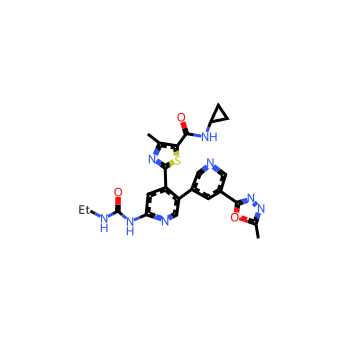 CCNC(=O)Nc1cc(-c2nc(C)c(C(=O)NC3CC3)s2)c(-c2cncc(-c3nnc(C)o3)c2)cn1